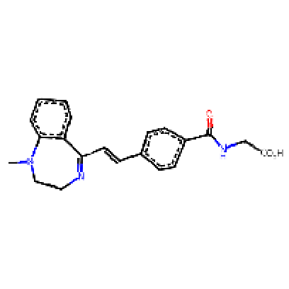 CN1CCN=C(C=Cc2ccc(C(=O)NCC(=O)O)cc2)c2ccccc21